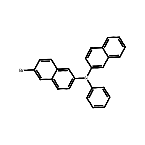 Brc1ccc2cc(N(c3ccccc3)c3ccc4ccccc4c3)ccc2c1